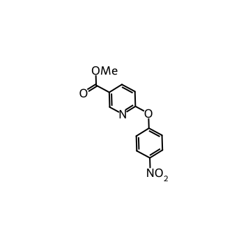 COC(=O)c1ccc(Oc2ccc([N+](=O)[O-])cc2)nc1